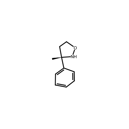 C[C@@]1(c2ccccc2)CCON1